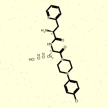 C[C@H](NC(=O)[C@@H](N)Cc1ccccn1)C(=O)N1CCN(c2ccc(Cl)cc2)CC1.Cl.Cl.Cl